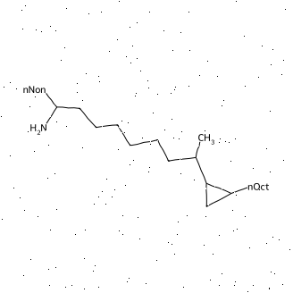 CCCCCCCCCC(N)CCCCCCC(C)C1CC1CCCCCCCC